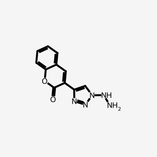 NNn1cc(-c2cc3ccccc3oc2=O)nn1